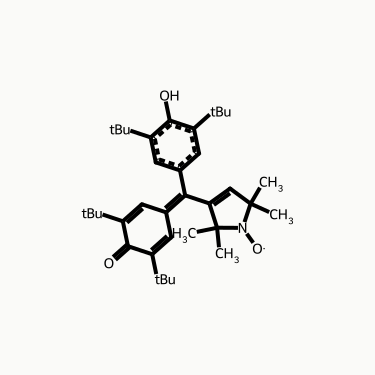 CC(C)(C)C1=CC(=C(C2=CC(C)(C)N([O])C2(C)C)c2cc(C(C)(C)C)c(O)c(C(C)(C)C)c2)C=C(C(C)(C)C)C1=O